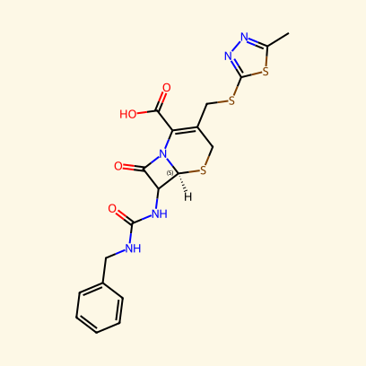 Cc1nnc(SCC2=C(C(=O)O)N3C(=O)C(NC(=O)NCc4ccccc4)[C@@H]3SC2)s1